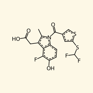 Cc1c(CC(=O)O)c2c(F)c(O)ccc2n1C(=O)c1csc(SC(F)F)c1